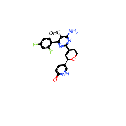 Nc1nc(C2=C[C@H](c3ccc(=O)[nH]c3)OCC2)nc(-c2ccc(F)cc2F)c1C=O